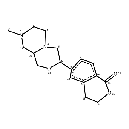 CN1CCN2CC(c3ccc4c(c3)CCOC4=O)OCC2C1